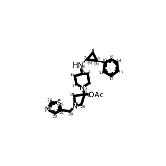 CC(=O)OC1(N2CCC(N[C@@H]3C[C@H]3c3ccccc3)CC2)CN(Cc2cncs2)C1